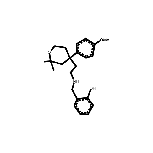 COc1ccc(C2(CCNCc3ccccc3O)CCOC(C)(C)C2)cc1